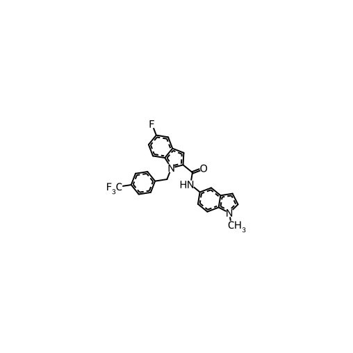 Cn1ccc2cc(NC(=O)c3cc4cc(F)ccc4n3Cc3ccc(C(F)(F)F)cc3)ccc21